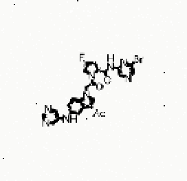 CC(=O)c1cn(CC(=O)N2C[C@H](F)C[C@H]2C(=O)Nc2cncc(Br)n2)c2ccc(Nc3cncnc3)cc12